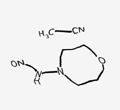 CC#N.O=NNN1CCOCC1